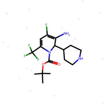 CC(C)(C)OC(=O)N1C(C(F)(F)F)=CC(F)=C(N)C1C1CCNCC1